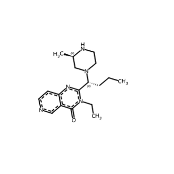 CCC[C@H](c1nc2ccncc2c(=O)n1CC)N1CCN[C@H](C)C1